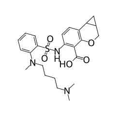 CN(C)CCCCN(C)c1ccccc1S(=O)(=O)Nc1ccc2c(c1C(=O)O)OCC1CC21